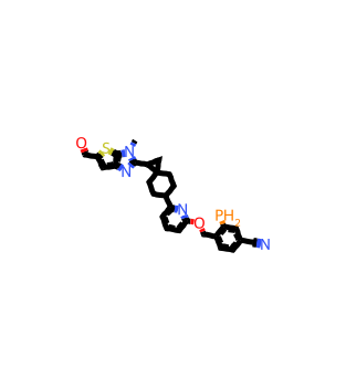 Cn1c(C2CC23CCC(c2cccc(OCc4ccc(C#N)cc4P)n2)CC3)nc2cc(C=O)sc21